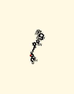 CC(C)(C)OC(=O)N[C@H]1CCCC[C@H]2CC[C@@H](C(=O)N3C[C@@H](C#N)[C@H](c4cccc(OCCCCOc5ccc(C6CCC(=O)NC6=O)cc5)c4)C3)N2C1=O